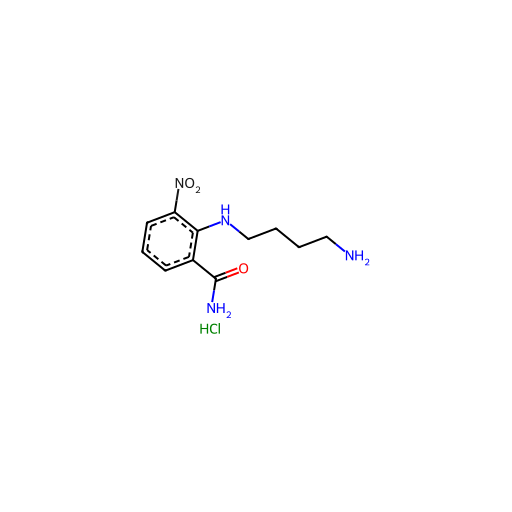 Cl.NCCCCNc1c(C(N)=O)cccc1[N+](=O)[O-]